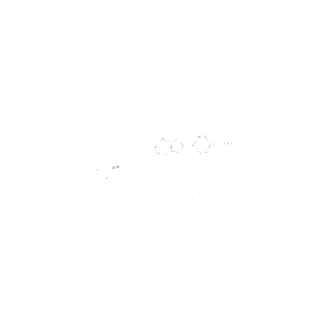 COc1cc(OCCCN(C)C)c(-c2cn3ccc(N4CCCN(C#CP(=O)(O)O)CC4)cc3n2)cc1Cl